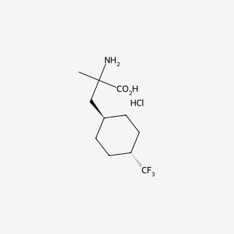 CC(N)(C[C@H]1CC[C@H](C(F)(F)F)CC1)C(=O)O.Cl